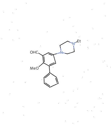 CCN1CCN(c2cc(C=O)c(OC)c(-c3ccccc3)c2)CC1